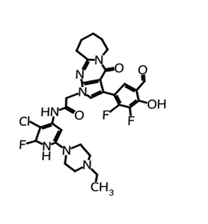 CCN1CCN(C2=CC(NC(=O)Cn3cc(-c4cc(C=O)c(O)c(F)c4F)c4c(=O)n5c(nc43)CCCCC5)=C(Cl)C(F)N2)CC1